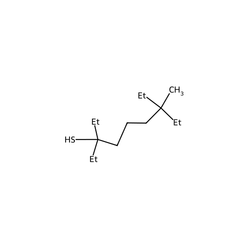 CCC(C)(CC)CCCC(S)(CC)CC